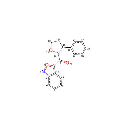 O=C(c1onc2ccccc12)N1OCC[C@H]1c1ccccc1